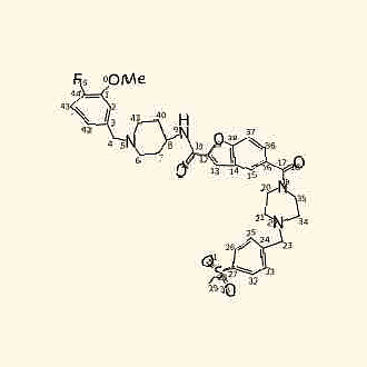 COc1cc(CN2CCC(NC(=O)c3cc4cc(C(=O)N5CCN(Cc6ccc(S(C)(=O)=O)cc6)CC5)ccc4o3)CC2)ccc1F